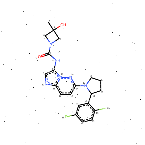 CC1(O)CN(C(=O)Nc2cnc3ccc(N4CCCC4c4cc(F)ccc4F)nn23)C1